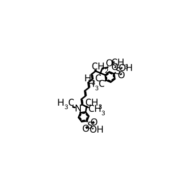 C=C(/C=C/C=C/C=C/C=C1/N(CC)c2ccc(S(=O)(=O)O)cc2C1(C)C)C(C)(CCOC)c1cc(S(=O)(=O)O)ccc1C